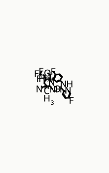 C[C@@]1(C#N)C[C@@H]2[C@@H](C(F)(F)F)OC[C@]2(c2cc(NC(=O)c3ccc(F)cn3)ccc2F)N=C1N